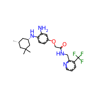 C[C@@H]1C[C@H](Nc2ccc(OCC(=O)NCc3ncccc3C(F)(F)F)cc2N)CC(C)(C)C1